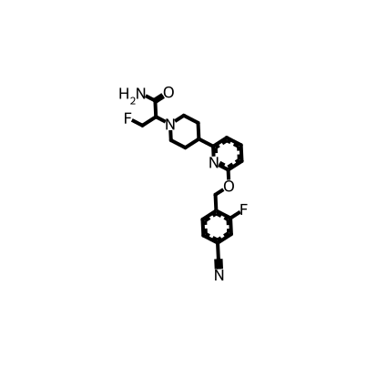 N#Cc1ccc(COc2cccc(C3CCN(C(CF)C(N)=O)CC3)n2)c(F)c1